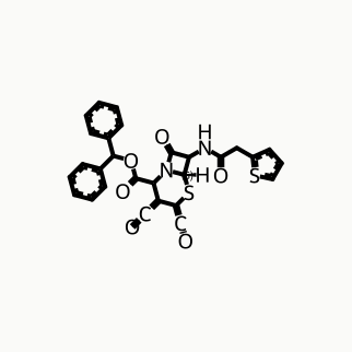 O=C=C1S[C@H]2C(NC(=O)Cc3cccs3)C(=O)N2C(C(=O)OC(c2ccccc2)c2ccccc2)C1=C=O